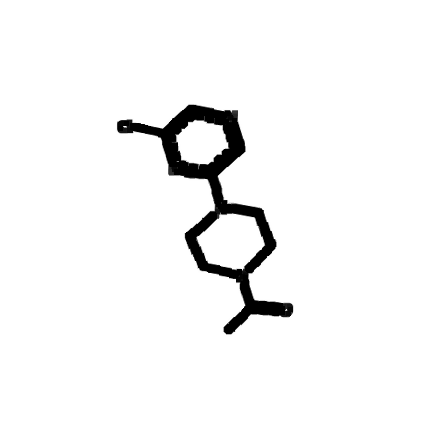 CC(=O)N1CCN(c2cncc(Cl)n2)CC1